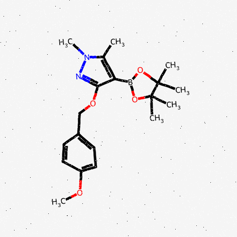 COc1ccc(COc2nn(C)c(C)c2B2OC(C)(C)C(C)(C)O2)cc1